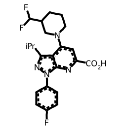 CC(C)c1nn(-c2ccc(F)cc2)c2nc(C(=O)O)cc(N3CCCC(C(F)F)C3)c12